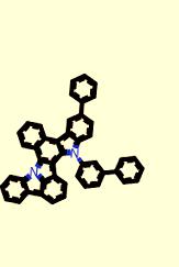 c1ccc(-c2cccc(-n3c4ccc(-c5ccccc5)cc4c4c5ccccc5c5c(c6cccc7c8ccccc8n5c76)c43)c2)cc1